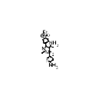 C=C(N)/N=C(\C(C#Cc1ccc(N)nc1)=C(\C)N)c1ccc(S(=O)(=O)CC)cc1